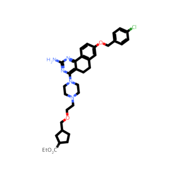 CCOC(=O)C1CCC(COCCN2CCN(c3nc(N)nc4c3CCc3cc(OCc5ccc(Cl)cc5)ccc3-4)CC2)C1